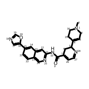 CN1CC=C(C2CC(C(=O)Nc3cc4cc(-c5cnco5)ccc4cn3)=CC=N2)CC1